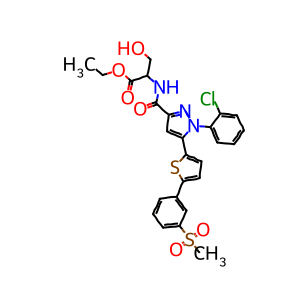 CCOC(=O)C(CO)NC(=O)c1cc(-c2ccc(-c3cccc(S(C)(=O)=O)c3)s2)n(-c2ccccc2Cl)n1